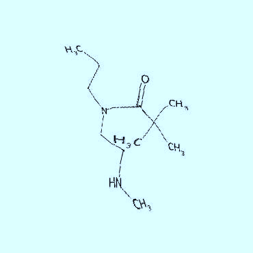 CCCN(CCNC)C(=O)C(C)(C)C